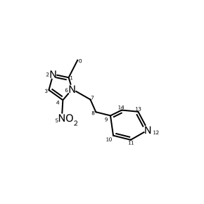 Cc1ncc([N+](=O)[O-])n1CCc1ccncc1